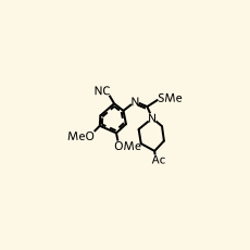 COc1cc(C#N)c(N=C(SC)N2CCC(C(C)=O)CC2)cc1OC